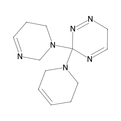 C1=CCN(C2(N3CCC=NC3)N=CCN=N2)CC1